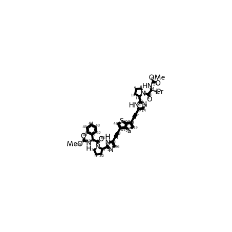 COC(=O)N[C@H](C(=O)N1CCCC1c1ncc(C#Cc2csc3c(C#Cc4cnc(C5CCCN5C(=O)[C@H](NC(=O)OC)c5ccccc5)[nH]4)csc23)[nH]1)C(C)C